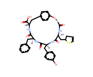 O=C1COc2ccc(cc2)C[C@@H](C(=O)O)NC(=O)[C@H](Cc2ccccc2)NC(=O)[C@H](Cc2ccc(Br)cc2)NC(=O)[C@H](CC2CC=CS2)N1